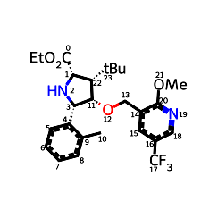 CCOC(=O)[C@H]1N[C@@H](c2ccccc2C)[C@@H](OCc2cc(C(F)(F)F)cnc2OC)[C@H]1C(C)(C)C